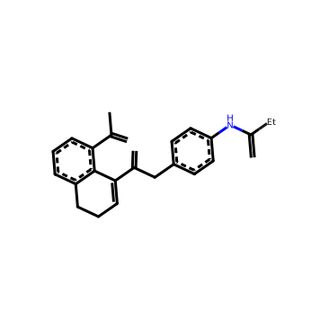 C=C(CC)Nc1ccc(CC(=C)C2=CCCc3cccc(C(=C)C)c32)cc1